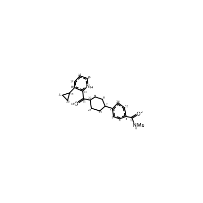 CNC(=O)c1ccc(C2CCC(C(=O)c3n[c]ccc3C3CC3)CC2)cc1